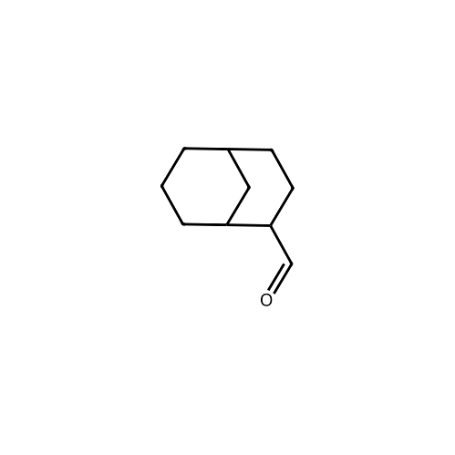 O=CC1CCC2CCCC1C2